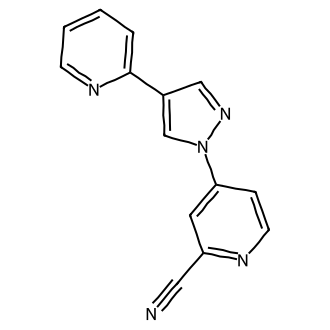 N#Cc1cc(-n2cc(-c3ccccn3)cn2)ccn1